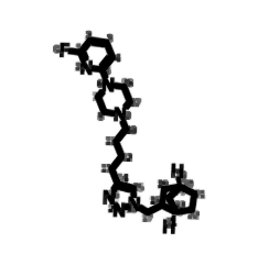 Fc1cccc(N2CCN(CCCCc3cn(CC4C[C@@H]5CC[C@@H]4C5)nn3)CC2)n1